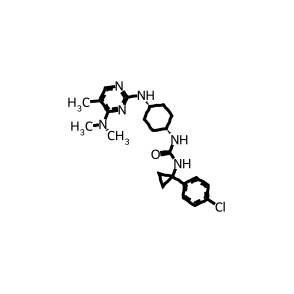 Cc1cnc(N[C@H]2CC[C@@H](NC(=O)NC3(c4ccc(Cl)cc4)CC3)CC2)nc1N(C)C